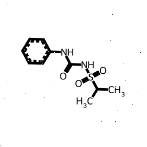 CC(C)S(=O)(=O)NC(=O)Nc1ccccc1